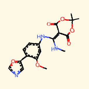 CNC(Nc1ccc(-c2cnco2)c(OC)c1)=C1C(=O)OC(C)(C)OC1=O